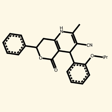 CC1=C(C#N)C(c2ccccc2OC(C)C)C2=C(CC(c3ccccc3)OC2=O)N1